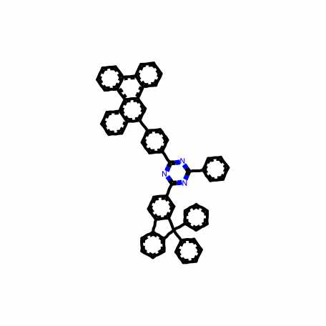 c1ccc(-c2nc(-c3ccc(-c4cc5c6ccccc6c6ccccc6c5c5ccccc45)cc3)nc(-c3ccc4c(c3)C(c3ccccc3)(c3ccccc3)c3ccccc3-4)n2)cc1